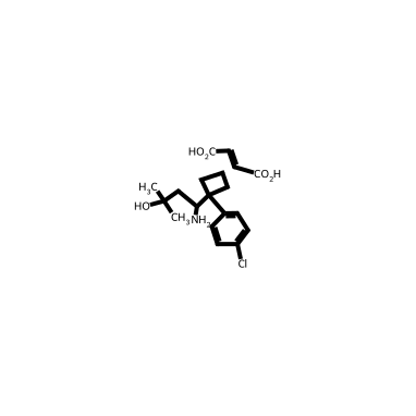 CC(C)(O)CC(N)C1(c2ccc(Cl)cc2)CCC1.O=C(O)C=CC(=O)O